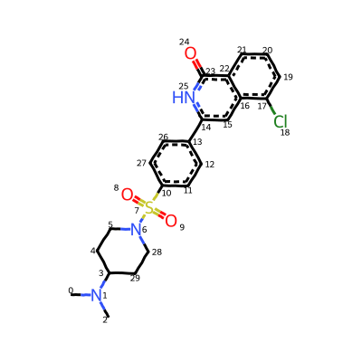 CN(C)C1CCN(S(=O)(=O)c2ccc(-c3cc4c(Cl)cccc4c(=O)[nH]3)cc2)CC1